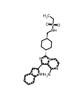 CCS(=O)(=O)NC[C@H]1CC[C@H](c2nc(-c3cc4ccccc4[nH]3)c3c(N)nccn32)CC1